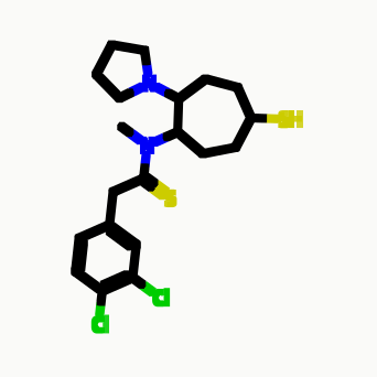 CN(C(=S)Cc1ccc(Cl)c(Cl)c1)C1CCC(S)CCC1N1CCCC1